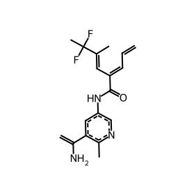 C=C/C=C(\C=C(/C)C(C)(F)F)C(=O)Nc1cnc(C)c(C(=C)N)c1